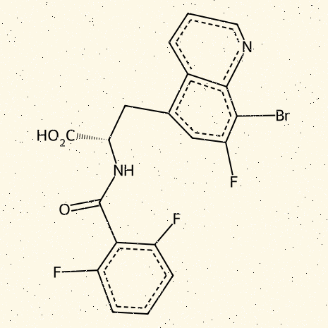 O=C(N[C@@H](Cc1cc(F)c(Br)c2ncccc12)C(=O)O)c1c(F)cccc1F